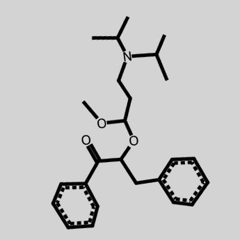 COC(CCN(C(C)C)C(C)C)OC(Cc1ccccc1)C(=O)c1ccccc1